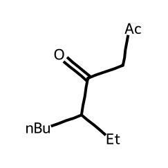 CCCCC(CC)C(=O)CC(C)=O